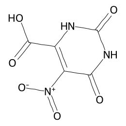 O=C(O)c1[nH]c(=O)[nH]c(=O)c1[N+](=O)[O-]